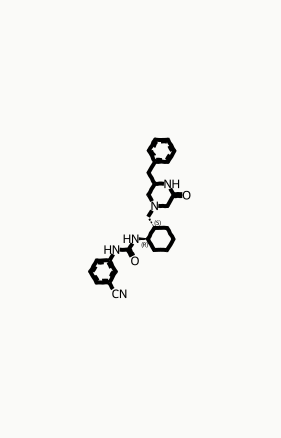 N#Cc1cccc(NC(=O)N[C@@H]2CCCC[C@H]2CN2CC(=O)NC(Cc3ccccc3)C2)c1